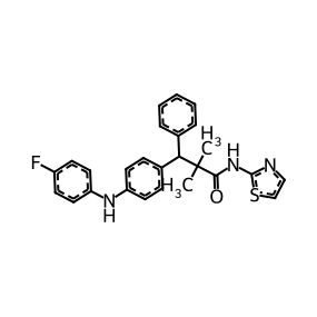 CC(C)(C(=O)Nc1nccs1)C(c1ccccc1)c1ccc(Nc2ccc(F)cc2)cc1